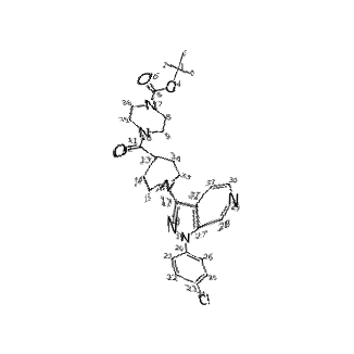 CC(C)(C)OC(=O)N1CCN(C(=O)C2CCN(c3nn(-c4ccc(Cl)cc4)c4cnccc34)CC2)CC1